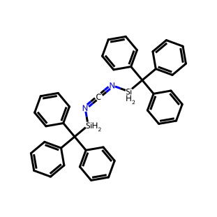 C(=N[SiH2]C(c1ccccc1)(c1ccccc1)c1ccccc1)=N[SiH2]C(c1ccccc1)(c1ccccc1)c1ccccc1